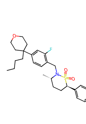 CCCCC1(c2ccc(CN3[C@@H](C)CC[C@H](c4ccccc4)S3(=O)=O)c(F)c2)CCOCC1